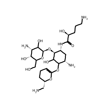 NCCC[C@H](O)C(=O)N[C@@H]1C[C@H](N)C(OC2=CCC[C@@H](CN)O2)C(O)[C@H]1O[C@H]1OC(CO)[C@H](O)[C@H](N)C1O